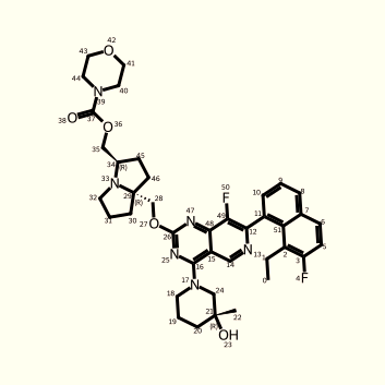 CCc1c(F)ccc2cccc(-c3ncc4c(N5CCC[C@@](C)(O)C5)nc(OC[C@]56CCCN5[C@@H](COC(=O)N5CCOCC5)CC6)nc4c3F)c12